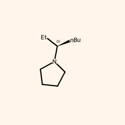 CCCC[C@H](CC)N1CCCC1